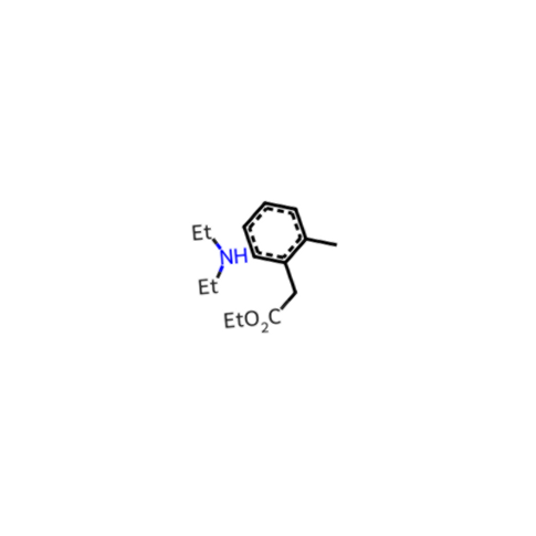 CCNCC.CCOC(=O)Cc1ccccc1C